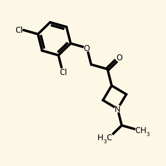 CC(C)N1CC(C(=O)COc2ccc(Cl)cc2Cl)C1